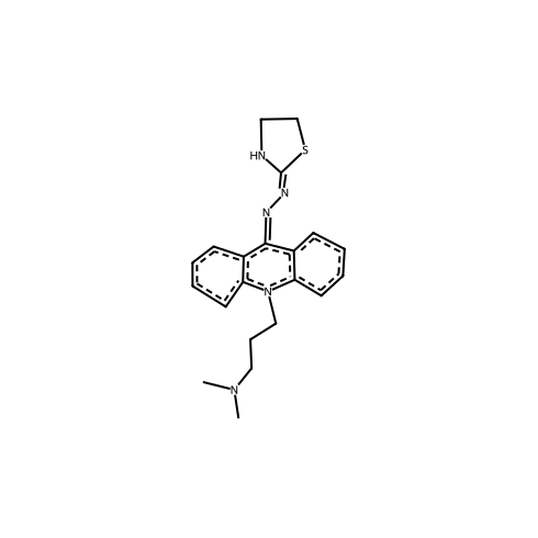 CN(C)CCCn1c2ccccc2c(=NN=C2NCCS2)c2ccccc21